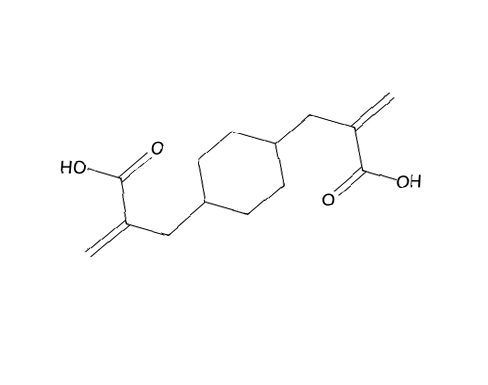 C=C(CC1CCC(CC(=C)C(=O)O)CC1)C(=O)O